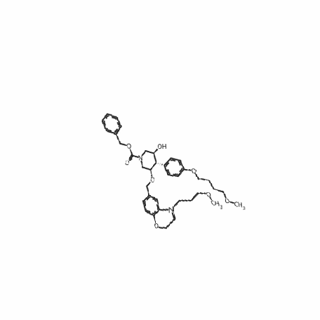 COCCCCOc1ccc([C@H]2[C@H](O)CN(C(=O)OCc3ccccc3)C[C@@H]2OCc2ccc3c(c2)N(CCCOC)CCO3)cc1